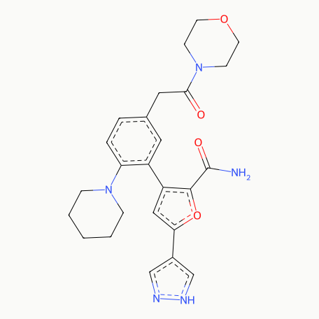 NC(=O)c1oc(-c2cn[nH]c2)cc1-c1cc(CC(=O)N2CCOCC2)ccc1N1CCCCC1